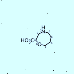 O=C(O)[C@@H]1CNCCCCO1